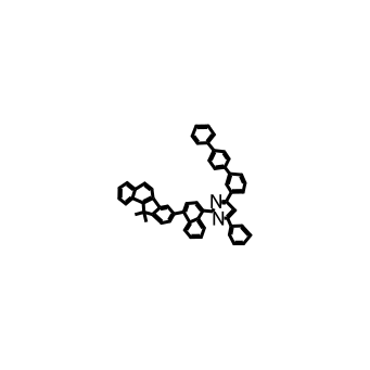 CC1(C)c2ccc(-c3ccc(-c4nc(-c5ccccc5)cc(-c5cccc(-c6ccc(-c7ccccc7)cc6)c5)n4)c4ccccc34)cc2-c2ccc3ccccc3c21